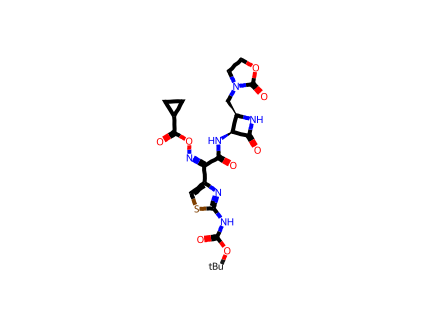 CC(C)(C)OC(=O)Nc1nc(/C(=N/OC(=O)C2CC2)C(=O)N[C@@H]2C(=O)N[C@@H]2CN2CCOC2=O)cs1